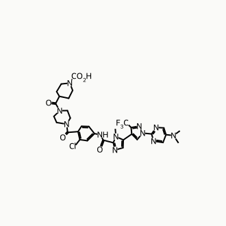 CN(C)c1cnc(-n2cc(-c3cnc(C(=O)Nc4ccc(C(=O)N5CCN(C(=O)C6CCN(C(=O)O)CC6)CC5)c(Cl)c4)n3C)c(C(F)(F)F)n2)nc1